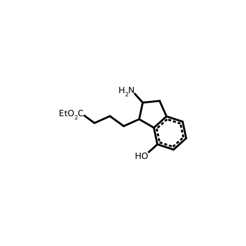 CCOC(=O)CCCC1c2c(O)cccc2CC1N